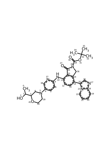 CC(O)C1CN(c2ccc(Nc3ccc(-c4cnc5ccccn45)c4c3C(=O)N(C(=O)OC(C)(C)C)C4)nc2)CCO1